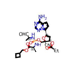 CCC(=O)O[C@H]1C[C@H](c2ccc3c(N)ncnn23)O[C@]1(C#N)COP(=O)(N[C@@H](C)C(=O)OCC1CCC1)N[C@@H](C)C=O